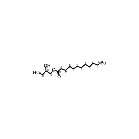 CC[C@H](C)CCCCCCCCCCC(=O)OCC(O)CO